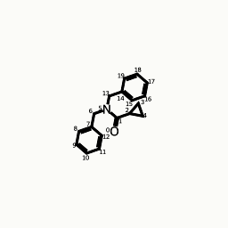 O=C(C1CC1)N(Cc1ccccc1)Cc1ccccc1